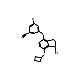 N#Cc1cc(F)cc(Oc2ccc(SC3CCC3)c3c2CCC3O)c1